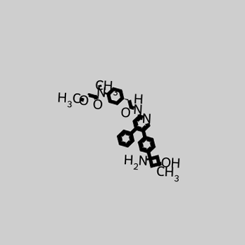 COCC(=O)N(C)[C@H]1CC[C@H](CC(=O)Nc2cc(-c3ccccc3)c(-c3ccc([C@]4(N)C[C@](C)(O)C4)cc3)cn2)CC1